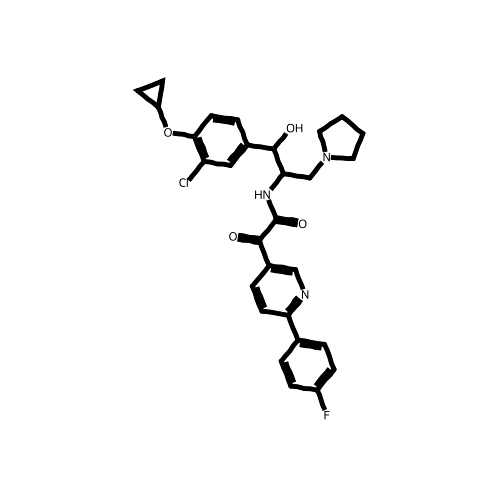 O=C(NC(CN1CCCC1)C(O)c1ccc(OC2CC2)c(Cl)c1)C(=O)c1ccc(-c2ccc(F)cc2)nc1